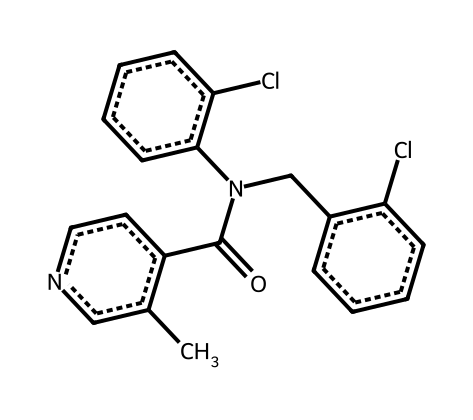 Cc1cnccc1C(=O)N(Cc1ccccc1Cl)c1ccccc1Cl